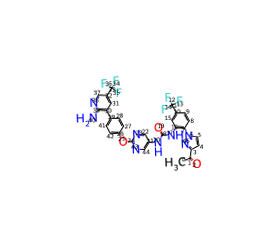 CC(=O)c1ccn(-c2ccc(C(F)(F)F)cc2NC(=O)Nc2cnc(Oc3ccc(-c4cc(C(F)(F)F)cnc4N)cc3)nc2)n1